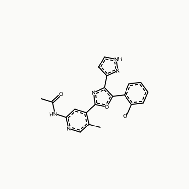 CC(=O)Nc1cc(-c2nc(-c3cc[nH]n3)c(-c3ccccc3Cl)o2)c(C)cn1